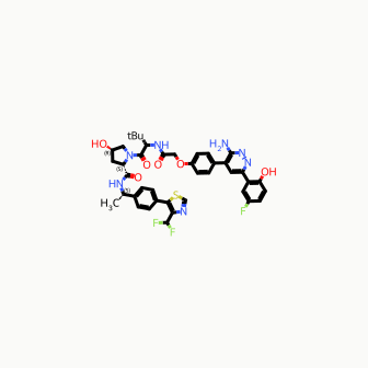 C[C@H](NC(=O)[C@@H]1C[C@@H](O)CN1C(=O)C(NC(=O)COc1ccc(-c2cc(-c3cc(F)ccc3O)nnc2N)cc1)C(C)(C)C)c1ccc(-c2scnc2C(F)F)cc1